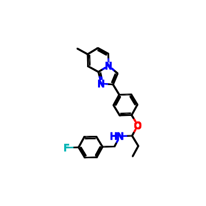 CCC(NCc1ccc(F)cc1)Oc1ccc(-c2cn3ccc(C)cc3n2)cc1